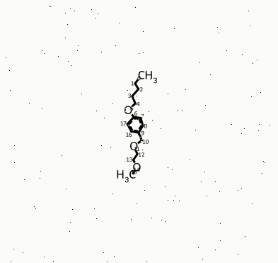 CCCCCOc1ccc(COCCOC)cc1